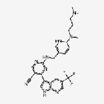 CNCCCN(C)C1C=CC(CNc2ncc(C#N)c(-c3c[nH]c4ncc(C(F)(F)F)cc34)n2)=CN1